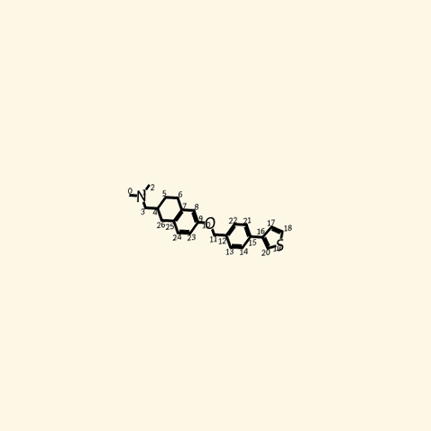 CN(C)CC1CCc2cc(OCc3ccc(-c4ccsc4)cc3)ccc2C1